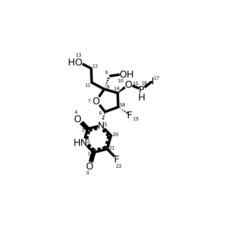 O=c1[nH]c(=O)n([C@@H]2O[C@@](CO)(CCO)[C@@H](OPI)[C@@H]2F)cc1F